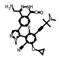 CN(C)C(C)(C)C#Cc1cc(OC2CC2)c(C#N)c(-c2c(-c3ccc4c(c3)C(CN)=NNC4=C=O)cnn2C)c1F